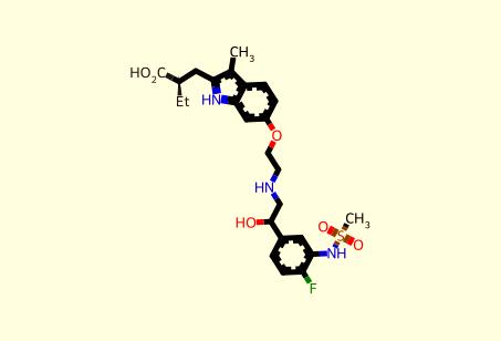 CC[C@H](Cc1[nH]c2cc(OCCNCC(O)c3ccc(F)c(NS(C)(=O)=O)c3)ccc2c1C)C(=O)O